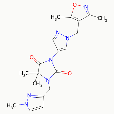 Cc1noc(C)c1Cn1cc(N2C(=O)N(Cc3ccn(C)n3)C(C)(C)C2=O)cn1